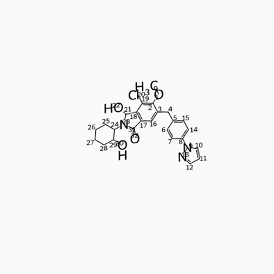 COc1c(Cc2ccc(-n3cccn3)cc2)cc2c(c1Cl)C(O)N(C1CCCCC1O)C2=O